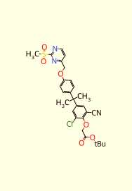 CC(C)(C)OC(=O)COc1c(Cl)cc(C(C)(C)c2ccc(OCc3ccnc(S(C)(=O)=O)n3)cc2)cc1C#N